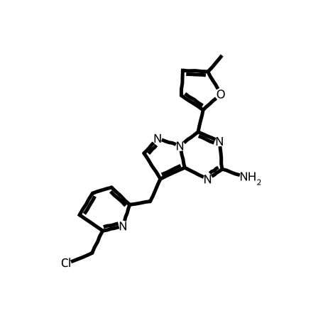 Cc1ccc(-c2nc(N)nc3c(Cc4cccc(CCl)n4)cnn23)o1